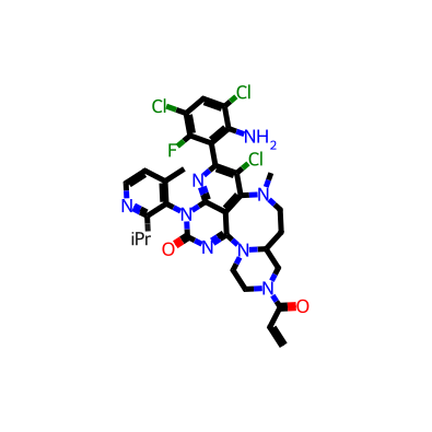 C=CC(=O)N1CCN2c3nc(=O)n(-c4c(C)ccnc4C(C)C)c4nc(-c5c(N)c(Cl)cc(Cl)c5F)c(Cl)c(c34)N(C)CCC2C1